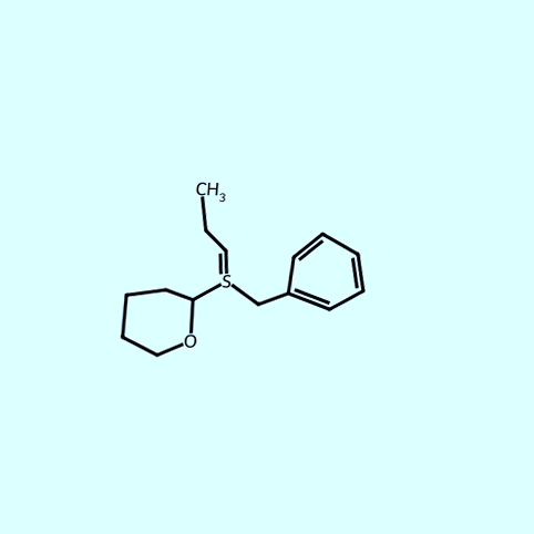 CCC=S(Cc1ccccc1)C1CCCCO1